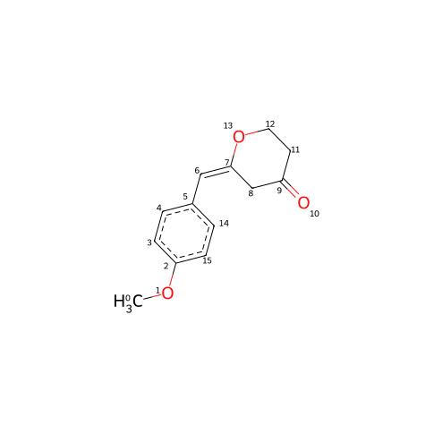 COc1ccc(C=C2CC(=O)CCO2)cc1